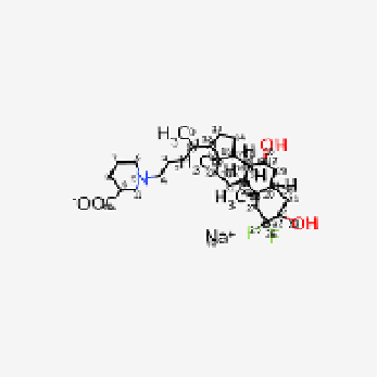 C[C@H](CCCN1CCCC(C(=O)[O-])C1)[C@H]1CC[C@H]2[C@@H]3[C@@H](O)C[C@@H]4C[C@@H](O)C(F)(F)C[C@]4(C)[C@H]3CC[C@]12C.[Na+]